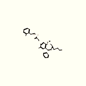 CC[C@@]1(CCCI)CS(=O)(=O)c2cc(OCC(=O)N[C@H](Cc3ccccc3O)C(=O)O)c(Br)cc2[C@@H](c2ccccc2)[C@H]1O